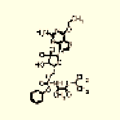 CCOc1nc(N)nc2c1ncn2[C@@H]1O[C@H](COP(=O)(NC(C)C(=O)OC(C)C)Oc2ccccc2)[C@@H](O)C1(Cl)Cl